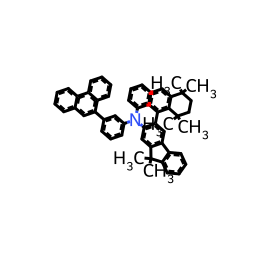 CC1(C)CCC(C)(C)c2c(-c3cc4c(cc3N(c3ccccc3)c3cccc(-c5cc6ccccc6c6ccccc56)c3)C(C)(C)c3ccccc3-4)cccc21